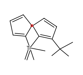 [CH2]=[Ti]([CH3])([CH3])([C]1=CC=CC1)[C]1=C(C(C)(C)C)C=CC1